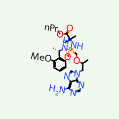 CCCOC(=O)C(C)(C)NP(=O)(COC(C)Cn1cnc2c(N)ncnc21)N[C@@H](C)c1ccccc1OC